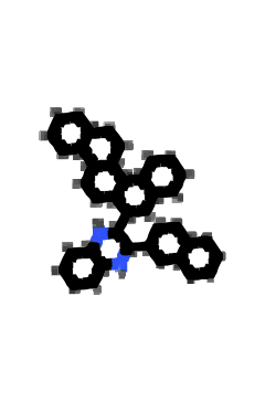 c1ccc2cc(-c3nc4ccccc4nc3-c3cc4ccccc4c4c3ccc3c5ccccc5ccc34)ccc2c1